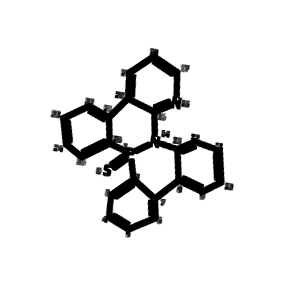 S=P12c3ccccc3-c3ccccc3N1c1ncccc1-c1ccccc12